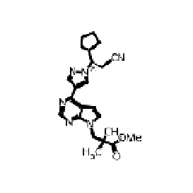 COC(=O)C(C)(C)Cn1ccc2c(-c3cnn([C@H](CC#N)C4CCCC4)c3)ncnc21